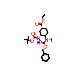 CCOC(=O)[C@@H]1CC[C@@H](NC(=O)OCc2ccccc2)[C@H](NC(=O)OC(C)(C)C)C1